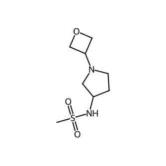 CS(=O)(=O)NC1CCN(C2COC2)C1